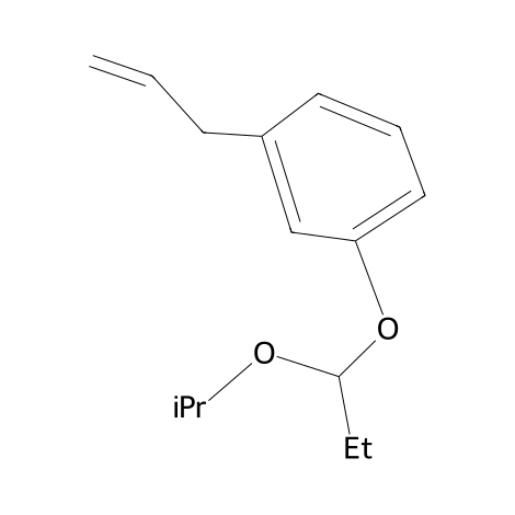 C=CCc1cccc(OC(CC)OC(C)C)c1